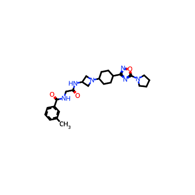 Cc1cccc(C(=O)NCC(=O)NC2CN(C3CCC(c4noc(N5CCCC5)n4)CC3)C2)c1